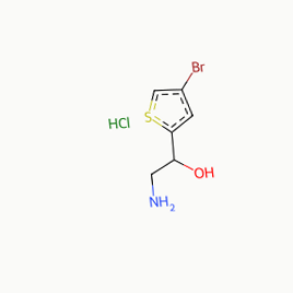 Cl.NCC(O)c1cc(Br)cs1